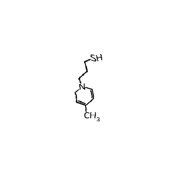 CC1=CCN(CCCS)C=C1